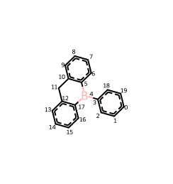 c1ccc(B2c3ccccc3Cc3ccccc32)cc1